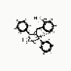 COP(=O)(c1ccccc1)N(Cc1ccccc1)Cc1ccccc1C